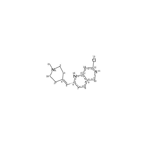 CN1CCC(=Cc2ccc3cnc(Cl)cc3n2)CC1